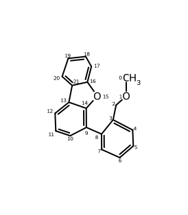 COCc1ccccc1-c1cccc2c1oc1ccccc12